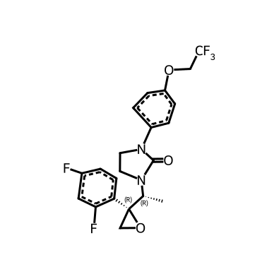 C[C@@H](N1CCN(c2ccc(OCC(F)(F)F)cc2)C1=O)[C@]1(c2ccc(F)cc2F)CO1